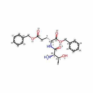 C[C@H](O)[C@@H](N)C(=O)N[C@H](CCC(=O)OCc1ccccc1)C(=O)OCc1ccccc1